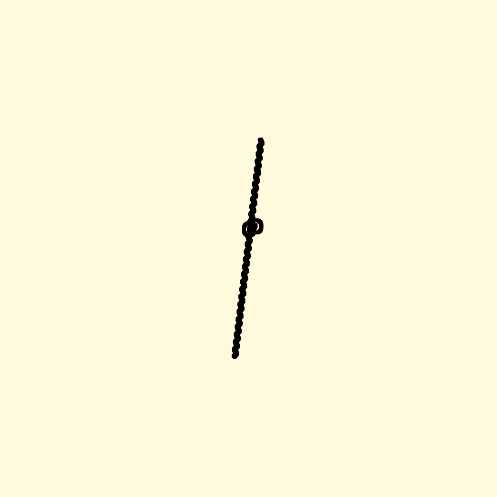 CCCCCCCCC=CCCCCCCCCCCCCCC(=O)OCCCCCCCCCCCCCCCCCCCCCCCCCCCCCCCCCC